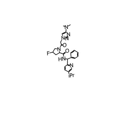 CC(C)c1ccc(C(NC(=O)C2CC(F)CN2C(=O)Cn2cc(N(C)C)nn2)c2ccccc2)nc1